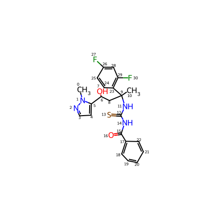 Cn1nccc1C(O)CC(C)(NC(=S)NC(=O)c1ccccc1)c1ccc(F)cc1F